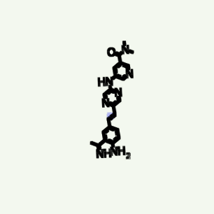 CC(=N)c1cc(/C=C/c2cnc(Nc3cncc(C(=O)N(C)C)c3)cn2)ccc1N